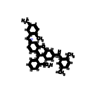 Cc1ccc(C)c(/N=c2/ccc3c(-c4ccccc4S(=O)(=O)O)c4ccc(Nc5cc(C)ccc5C)cc4oc-3c2)c1